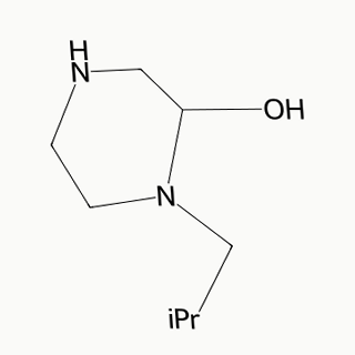 CC(C)CN1CCNCC1O